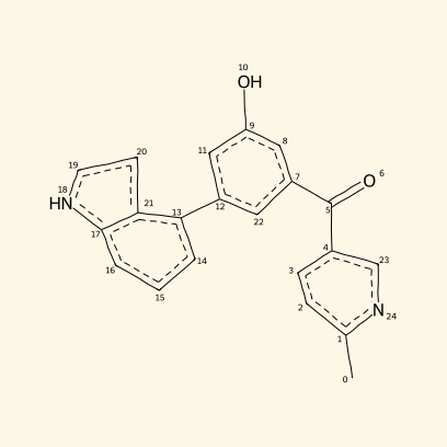 Cc1ccc(C(=O)c2cc(O)cc(-c3cccc4[nH]ccc34)c2)cn1